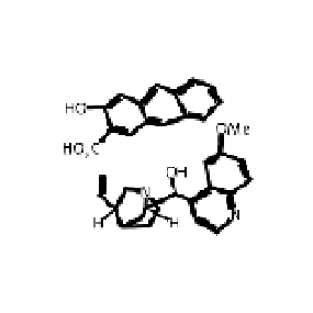 C=C[C@@H]1CN2CCC1C[C@H]2[C@@H](O)c1ccnc2ccc(OC)cc12.O=C(O)c1cc2cc3ccccc3cc2cc1O